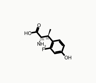 C[C@@H](c1ccc(O)cc1F)[C@H](N)C(=O)O